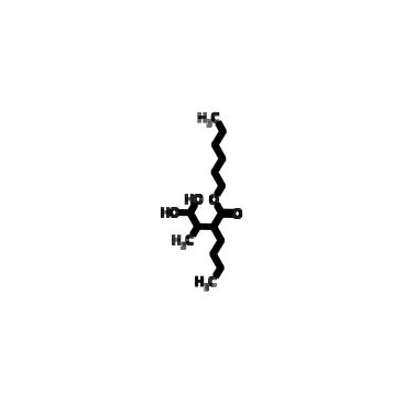 CCCCCCOC(=O)C(CCCC)C(C)C(O)O